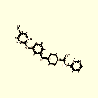 O=C(Nc1cccnn1)N1CCC(=Cc2cccc(Oc3ncc(F)cn3)c2)CC1